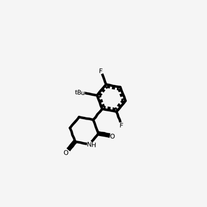 CC(C)(C)c1c(F)ccc(F)c1C1CCC(=O)NC1=O